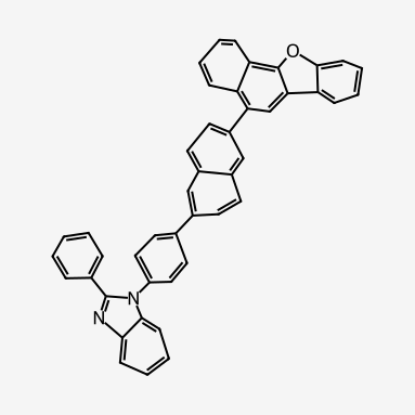 c1ccc(-c2nc3ccccc3n2-c2ccc(-c3ccc4cc(-c5cc6c7ccccc7oc6c6ccccc56)ccc4c3)cc2)cc1